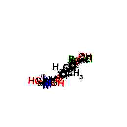 CC(C)(c1ccc(OC[C@H](O)Cn2nnc(CO)c2I)cc1)c1ccc(OC[C@H](O)CCl)c(Br)c1